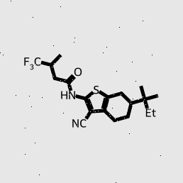 CCC(C)(C)C1CCc2c(sc(NC(=O)CC(C)C(F)(F)F)c2C#N)C1